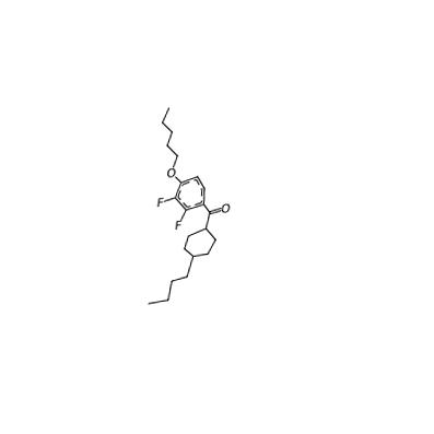 CCCCCOc1ccc(C(=O)C2CCC(CCCC)CC2)c(F)c1F